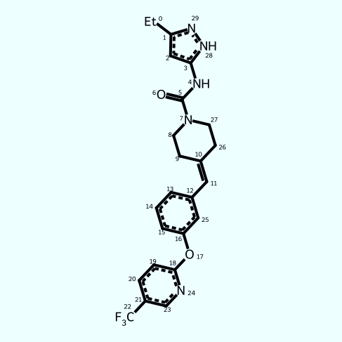 CCc1cc(NC(=O)N2CCC(=Cc3cccc(Oc4ccc(C(F)(F)F)cn4)c3)CC2)[nH]n1